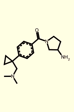 CN(C)CC1(c2ccc(C(=O)N3CCC(N)C3)cc2)CC1